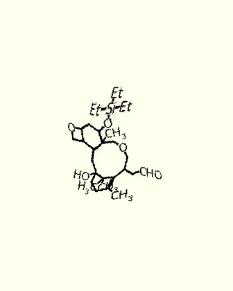 CC[Si](CC)(CC)OC1CC2OCC2C2CC3(O)CCC(C)=C(C(CC=O)COCC12C)C3(C)C